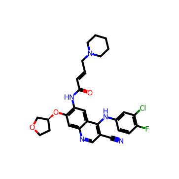 N#Cc1cnc2cc(O[C@H]3CCOC3)c(NC(=O)/C=C/CN3CCCCC3)cc2c1Nc1ccc(F)c(Cl)c1